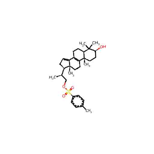 Cc1ccc(S(=O)(=O)OC[C@@H](C)[C@H]2CC=C3C4=C(CC[C@@]32C)[C@@]2(C)CC[C@H](O)C(C)(C)C2CC4)cc1